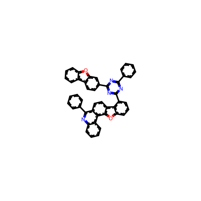 c1ccc(-c2nc(-c3ccc4c(c3)oc3ccccc34)nc(-c3cccc4oc5c(ccc6c(-c7ccccc7)nc7ccccc7c65)c34)n2)cc1